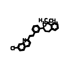 CC1(C)OC(c2cccc(/C=C/c3ccc4ccc(Cl)cc4n3)c2)CCc2ccccc21